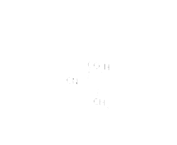 [C-]#[N+]/C(=C\C)C(=O)O